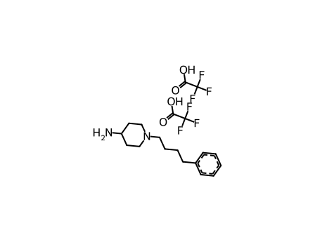 NC1CCN(CCCCc2ccccc2)CC1.O=C(O)C(F)(F)F.O=C(O)C(F)(F)F